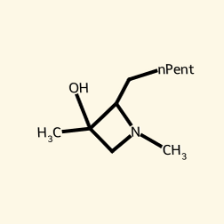 CCCCCCC1N(C)CC1(C)O